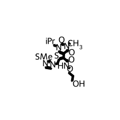 CSc1nccn1Cc1sc2c(c1C(=O)NOCCCO)c(=O)n(C)c(=O)n2CC(C)C